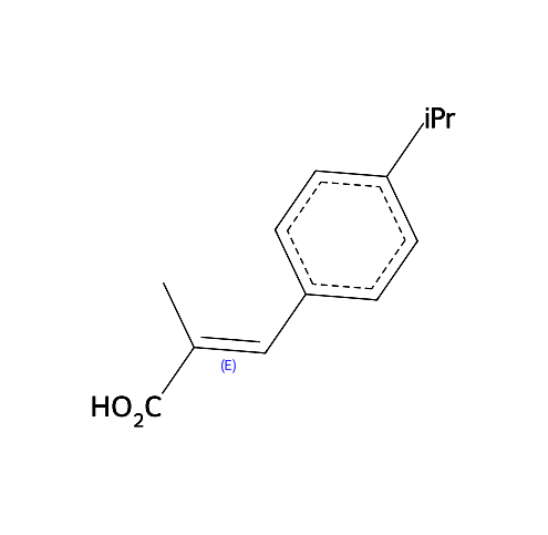 C/C(=C\c1ccc(C(C)C)cc1)C(=O)O